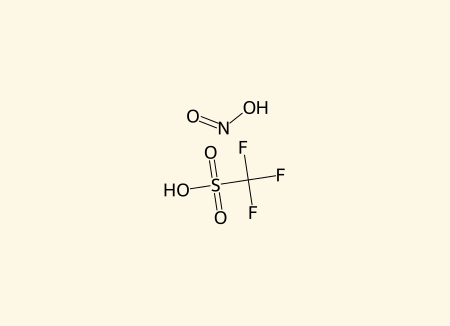 O=NO.O=S(=O)(O)C(F)(F)F